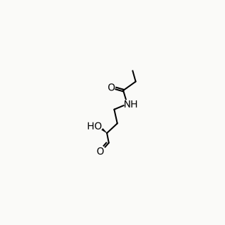 CCC(=O)NCC[C@H](O)C=O